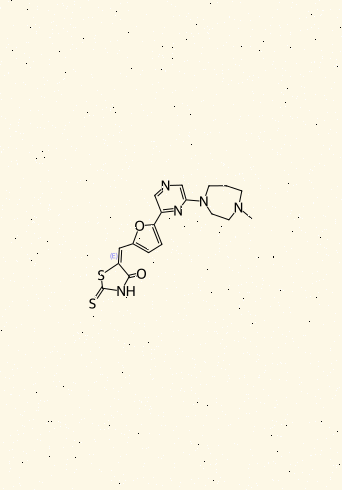 CN1CCCN(c2cncc(-c3ccc(/C=C4/SC(=S)NC4=O)o3)n2)CC1